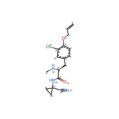 C=CCOc1ccc(C[C@H](NC)C(=O)NC2(C#N)CC2)cc1Cl